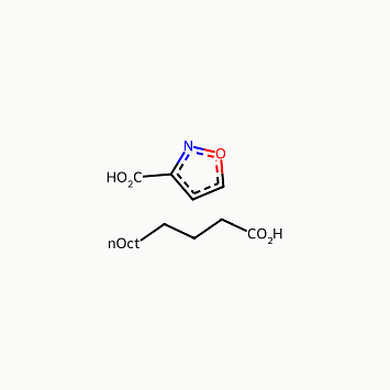 CCCCCCCCCCCC(=O)O.O=C(O)c1ccon1